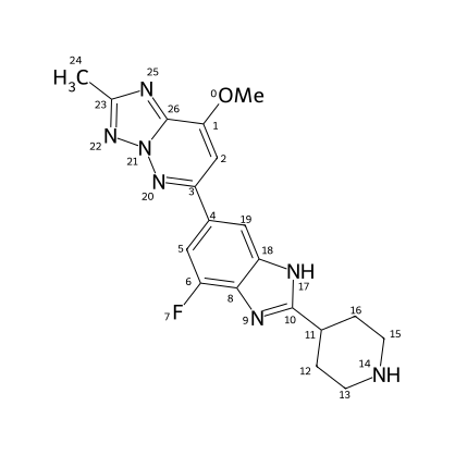 COc1cc(-c2cc(F)c3nc(C4CCNCC4)[nH]c3c2)nn2nc(C)nc12